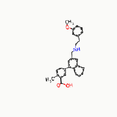 COc1cccc(CCNCc2cc(-c3ccc(C)c(C(=O)O)c3)c3ccccc3c2)c1